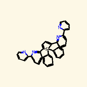 C1=C(c2cccc(-c3ccccn3)n2)[Si](c2ccccc2)(c2ccccc2)C(c2cccc(-c3ccccn3)n2)=C1